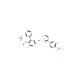 C=NN(C)c1ccc(-c2ccc(=O)n(-c3nc4cc(C)c([C@H](OC(C)(C)C)C(=O)O)c(-c5ccc(Cl)cc5)c4s3)c2)cc1C